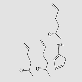 C=CCCC(C)[O-].C=CCCC(C)[O-].C=CCCC(C)[O-].[Ti+3][C]1=CC=CC1